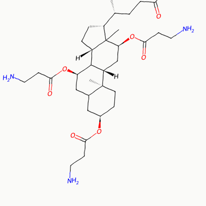 CCCCCCOC(=O)CC[C@@H](C)[C@H]1CC[C@H]2C3[C@H](OC(=O)CCN)CC4C[C@H](OC(=O)CCN)CC[C@]4(C)[C@H]3C[C@H](OC(=O)CCN)C12C